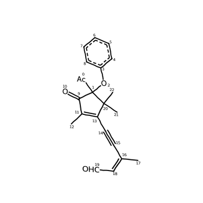 CC(=O)C1(Oc2ccccc2)C(=O)C(C)=C(C#CC(C)=CC=O)C1(C)C